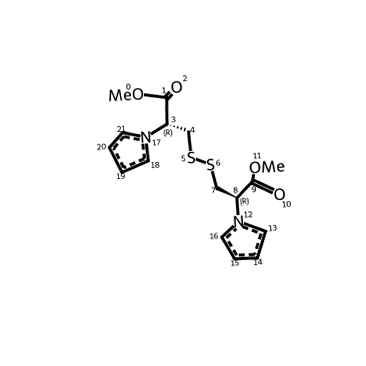 COC(=O)[C@H](CSSC[C@@H](C(=O)OC)n1cccc1)n1cccc1